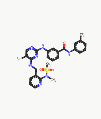 CN(c1ncccc1CNc1nc(Nc2cccc(C(=O)Nc3cccc(C(F)(F)F)c3)c2)ncc1C(F)(F)F)S(C)(=O)=O